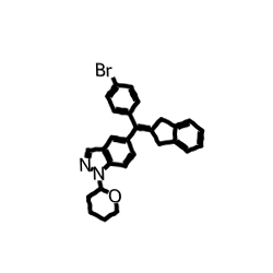 Brc1ccc(C(=C2Cc3ccccc3C2)c2ccc3c(cnn3C3CCCCO3)c2)cc1